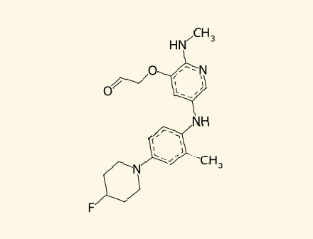 CNc1ncc(Nc2ccc(N3CCC(F)CC3)cc2C)cc1OCC=O